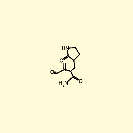 NC(=O)[C@H](CC1CCNC1=O)NC=O